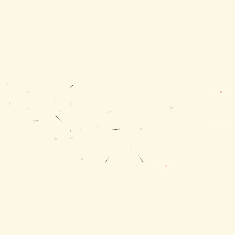 CC1(C)CCC[C@]2(C)[C@H]3CC[C@@H]4[C@@H]([C@H](CO)CCCC(CO)CO)CC[C@@]4(C)[C@]3(C)CC[C@@H]12